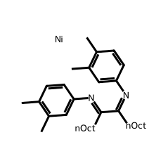 CCCCCCCCC(=Nc1ccc(C)c(C)c1)C(CCCCCCCC)=Nc1ccc(C)c(C)c1.[Ni]